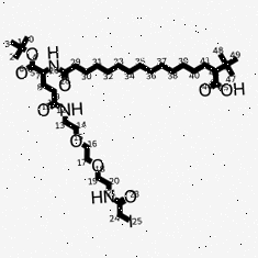 CC(C)(C)OC(=O)C(CCC(=O)NCCOCCOCCNC(=O)CI)NC(=O)CCCCCCCCCCCCCC(C(=O)O)C(C)(C)C